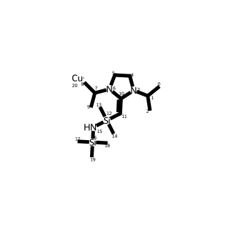 CC(C)N1CCN(C(C)C)C1=C[Si](C)(C)N[Si](C)(C)C.[Cu]